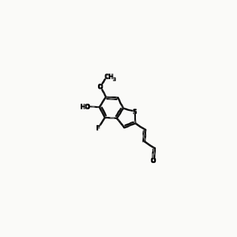 COc1cc2sc(C=CC=O)cc2c(F)c1O